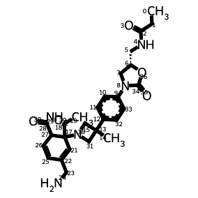 CCC(=O)NC[C@H]1CN(c2ccc(C3(C)CN(C4(C(C)=O)C=C(CN)C=CC4C(N)=O)C3)cc2)C(=O)O1